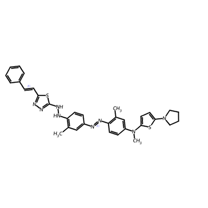 Cc1cc(N(C)c2ccc(N3CCCC3)s2)ccc1/N=N/c1ccc(NNc2nnc(/C=C/c3ccccc3)s2)c(C)c1